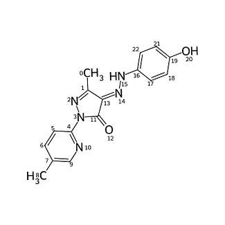 CC1=NN(c2ccc(C)cn2)C(=O)/C1=N/Nc1ccc(O)cc1